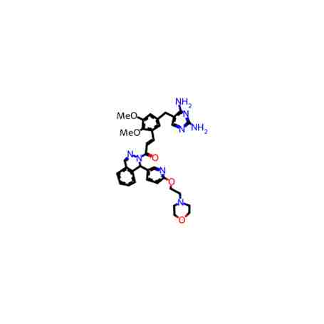 COc1cc(Cc2cnc(N)nc2N)cc(C=CC(=O)N2N=Cc3ccccc3C2c2ccc(OCCN3CCOCC3)nc2)c1OC